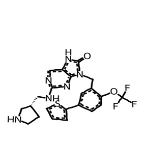 O=c1[nH]c2cnc(NC[C@@H]3CCNC3)nc2n1Cc1cc(-c2cccs2)ccc1OC(F)(F)F